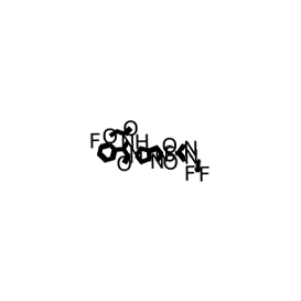 O=C1COc2c(F)cccc2C(C(=O)N2Cc3cn(S(=O)(=O)c4cnn(CC(F)F)c4)nc3C2)N1